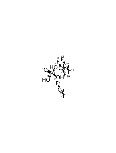 O=P(O)(O)O.[F][Ca][F].[F][Ca][F].[F][Ca][F]